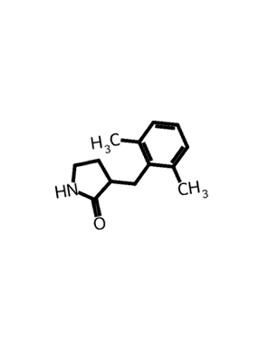 Cc1cccc(C)c1CC1CCNC1=O